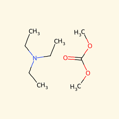 CCN(CC)CC.COC(=O)OC